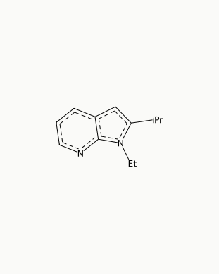 CCn1c(C(C)C)cc2cccnc21